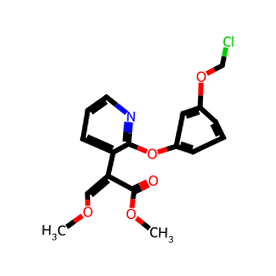 COC=C(C(=O)OC)c1cccnc1Oc1cccc(OCCl)c1